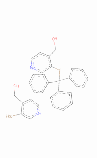 OCc1ccncc1S.OCc1ccncc1SC(c1ccccc1)(c1ccccc1)c1ccccc1